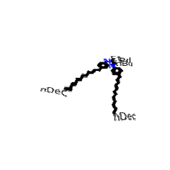 CCCCCCCCCCCCCCCCCCCCCCc1ccc(N=C(CC)C(CCCC)=Nc2ccc(CCCCCCCCCCCCCCCCCCCCCC)cc2)cc1.[Pd]